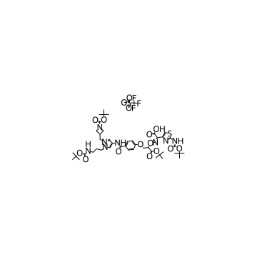 CC(C)(C)OC(=O)NCCCn1cc(NC(=O)c2ccc(OCC(O/N=C(\C(=O)O)c3csc(NC(=O)OC(C)(C)C)n3)C(=O)OC(C)(C)C)cc2)c[n+]1CC1CN(C(=O)OC(C)(C)C)C1.O=S(=O)([O-])C(F)(F)F